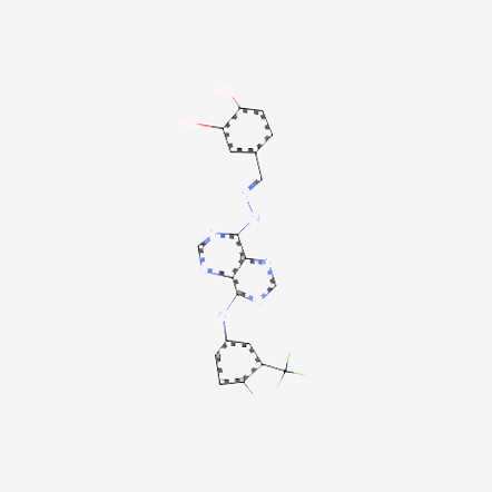 Oc1ccc(C=NNc2ncnc3c(Nc4ccc(Cl)c(C(F)(F)F)c4)ncnc23)cc1O